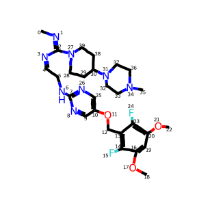 C/N=C(\N=C/CNc1ncc(OCc2c(F)c(OC)cc(OC)c2F)cn1)N1CCC(N2CCN(C)CC2)CC1